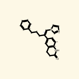 O=C1CCc2cc(/C(=C\n3ccnc3)CCCc3ccccc3)ccc2N1